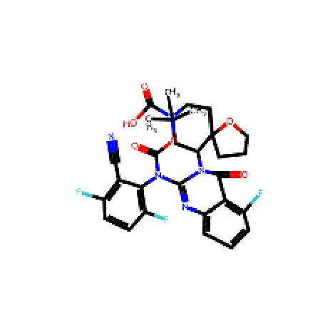 CC(C)(C)OC(=O)N(c1c(F)ccc(F)c1C#N)c1nc2cccc(F)c2c(=O)n1C1CN(C(=O)O)CCC12CCCO2